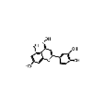 ON=c1cc(-c2ccc(O)c(O)c2)oc2cc(O)cc(O)c12